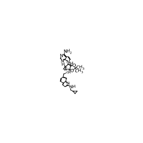 CC1(C)O[C@H]2[C@H](n3ccc4c(N)ncnc43)[C@H]3C[C@]3(CCc3ccc4ccc(NCC5CC5)nc4c3)[C@H]2O1